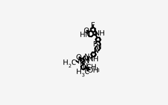 C=CCn1c(=O)c2cnc(Nc3ccc(N4CCN(Cc5ccc(-c6[nH]c7cc(F)cc8c7c6CCNC8=O)cc5F)CC4)cc3)nc2n1-c1cccc(C(C)(C)O)n1